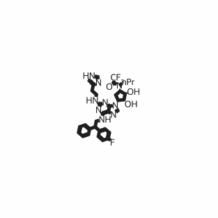 CCCN(C(=O)C(F)(F)F)[C@H]1C[C@@H](n2cnc3c(NCC(c4ccccc4)c4ccc(F)cc4)nc(NCCc4c[nH]cn4)nc32)[C@H](O)[C@@H]1O